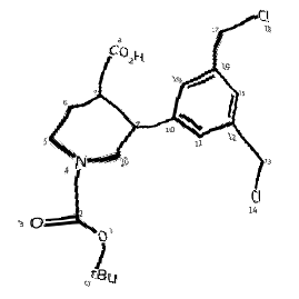 CC(C)(C)OC(=O)N1CCC(C(=O)O)C(c2cc(CCl)cc(CCl)c2)C1